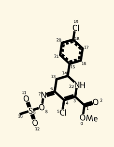 COC(=O)C1=C(Cl)/C(=N\OS(C)(=O)=O)CC(c2ccc(Cl)cc2)N1